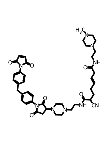 CN1CCN(CCNC(=O)CC=CCCC(C#N)C(=O)NCCN2CCN(C3CC(=O)N(c4ccc(Cc5ccc(N6C(=O)C=CC6=O)cc5)cc4)C3=O)CC2)CC1